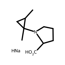 CC1CC1(C)N1CCCC1C(=O)O.[NaH]